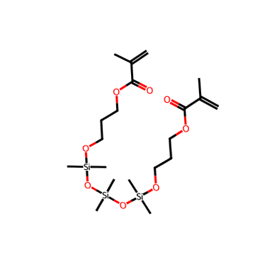 C=C(C)C(=O)OCCCO[Si](C)(C)O[Si](C)(C)O[Si](C)(C)OCCCOC(=O)C(=C)C